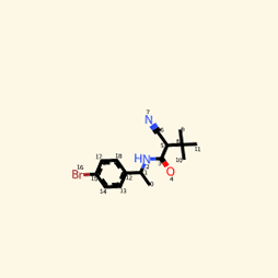 CC(NC(=O)C(C#N)C(C)(C)C)c1ccc(Br)cc1